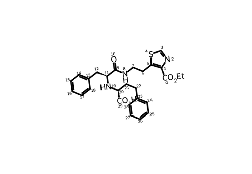 CCOC(=O)c1ncsc1CCNC(=O)[C@H](Cc1ccccc1)N[C@@H](CCc1ccccc1)C(=O)O